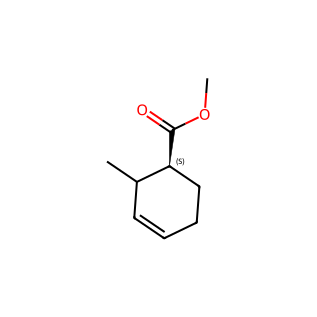 COC(=O)[C@H]1CCC=CC1C